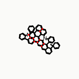 CC1(c2cccc3cccc(-c4ccccc4N(c4cccc(-c5ccc6c7ccccc7n(-c7ccccc7)c6c5)c4)c4ccccc4-c4cccc5cccc(-c6ccccc6)c45)c23)C=CC=CC1